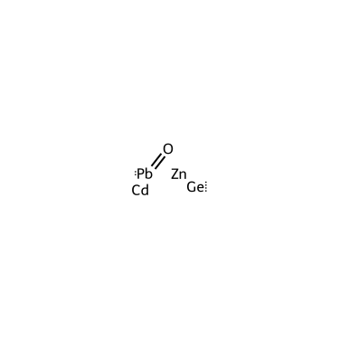 [Cd].[Ge].[O]=[Pb].[Zn]